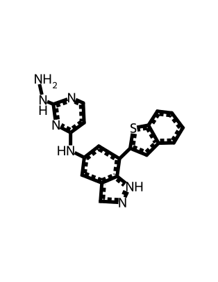 NNc1nccc(Nc2cc(-c3cc4ccccc4s3)c3[nH]ncc3c2)n1